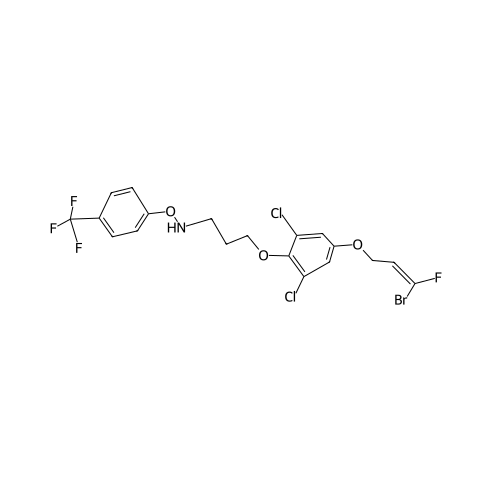 FC(Br)=CCOc1cc(Cl)c(OCCCNOc2ccc(C(F)(F)F)cc2)c(Cl)c1